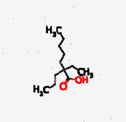 CCCCCC(CC)(CCC)C(=O)O